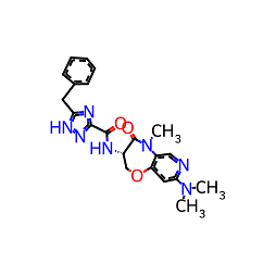 CN(C)c1cc2c(cn1)N(C)C(=O)[C@@H](NC(=O)c1n[nH]c(Cc3ccccc3)n1)CO2